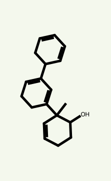 CC1(C2=CC(C3C=CC=CC3)=CCC2)C=CCCC1O